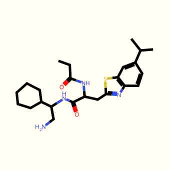 CCC(=O)NC(Cc1nc2ccc(C(C)C)cc2s1)C(=O)NC(CN)C1CCCCC1